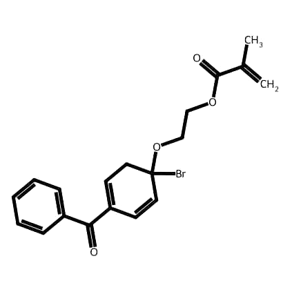 C=C(C)C(=O)OCCOC1(Br)C=CC(C(=O)c2ccccc2)=CC1